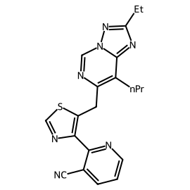 CCCc1c(Cc2scnc2-c2ncccc2C#N)ncn2nc(CC)nc12